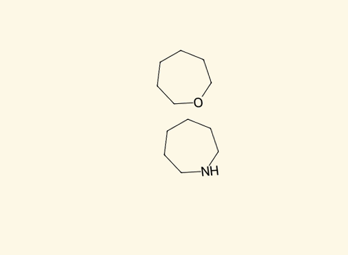 C1CCCNCC1.C1CCCOCC1